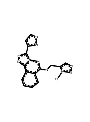 CCn1nncc1COc1nn2c(-c3ccon3)nnc2c2ccccc12